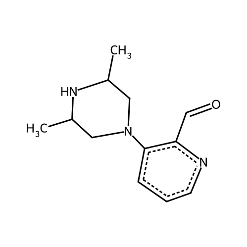 CC1CN(c2cccnc2C=O)CC(C)N1